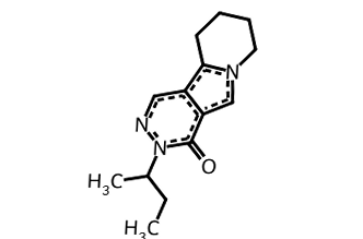 CCC(C)n1ncc2c3n(cc2c1=O)CCCC3